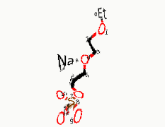 CCOCCOCCOS(=O)(=O)[O-].[Na+]